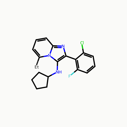 CCc1cccc2nc(-c3c(F)cccc3Cl)c(NC3CCCC3)n12